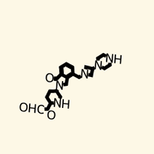 O=CC(=O)C1CCC(N2Cc3c(CN4CC(N5CCNCC5)C4)cccc3C2=O)CN1